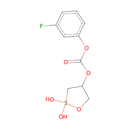 O=C(Oc1cccc(F)c1)OC1COS(O)(O)C1